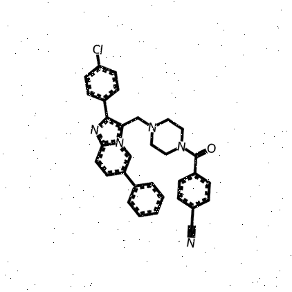 N#Cc1ccc(C(=O)N2CCN(Cc3c(-c4ccc(Cl)cc4)nc4ccc(-c5ccccc5)cn34)CC2)cc1